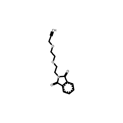 C#CCOCCOCCN1C(=O)c2ccccc2C1=O